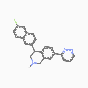 CCN1Cc2cc(-c3cccnn3)ccc2C(c2ccc3cc(F)ccc3c2)C1